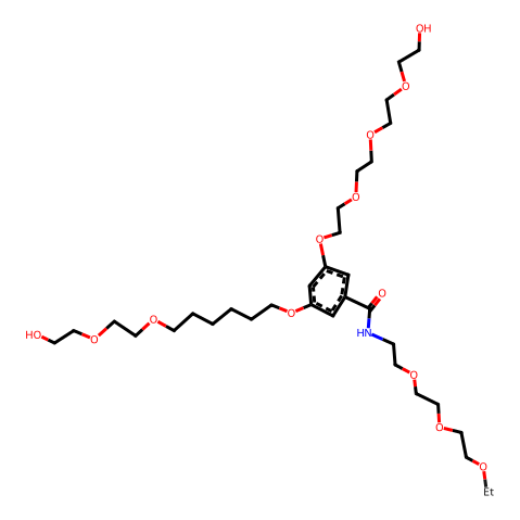 CCOCCOCCOCCNC(=O)c1cc(OCCCCCCOCCOCCO)cc(OCCOCCOCCOCCO)c1